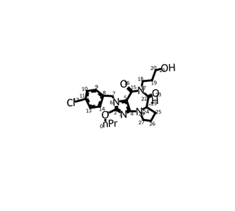 CCCOc1nc2c(n1Cc1ccc(Cl)cc1)C(=O)N(CCCO)C(=O)[C@H]1CCCN21